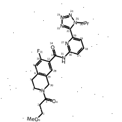 COCCC(=O)N1CCc2cc(F)c(C(=O)Nc3cccc(-c4nnnn4C(C)C)n3)cc2C1